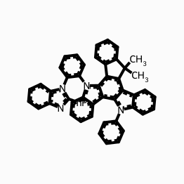 CCCc1nc2ccccc2n1-c1ccccc1-n1c2ccccc2c2c1c1c(c3c4ccccc4n(-c4ccccc4)c32)C(C)(C)c2ccccc2-1